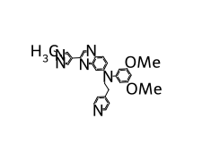 COc1cc(OC)cc(N(CCc2ccncc2)c2ccc3ncc(-c4cnn(C)c4)nc3c2)c1